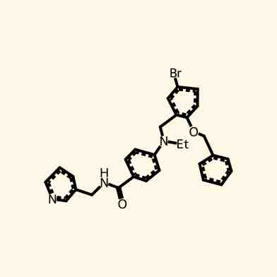 CCN(Cc1cc(Br)ccc1OCc1ccccc1)c1ccc(C(=O)NCc2cccnc2)cc1